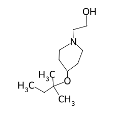 CCC(C)(C)OC1CCN(CCO)CC1